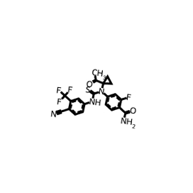 CC(=O)C1(N(C(=S)Nc2ccc(C#N)c(C(F)(F)F)c2)c2ccc(C(N)=O)c(F)c2)CC1